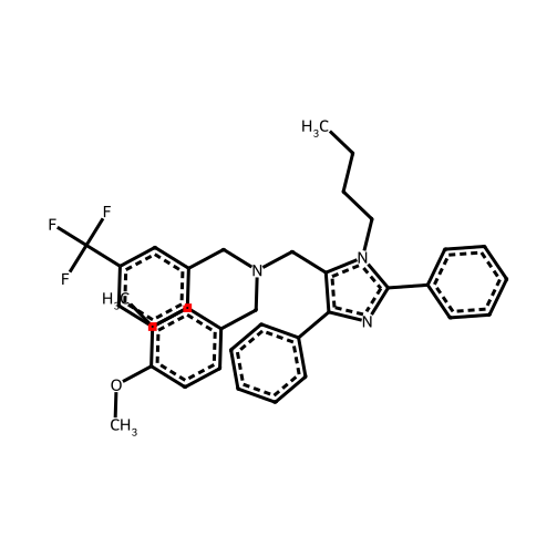 CCCCn1c(-c2ccccc2)nc(-c2ccccc2)c1CN(Cc1cccc(C(F)(F)F)c1)Cc1ccc(OC)c(C)c1